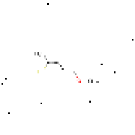 CC(S)CCCOC=O